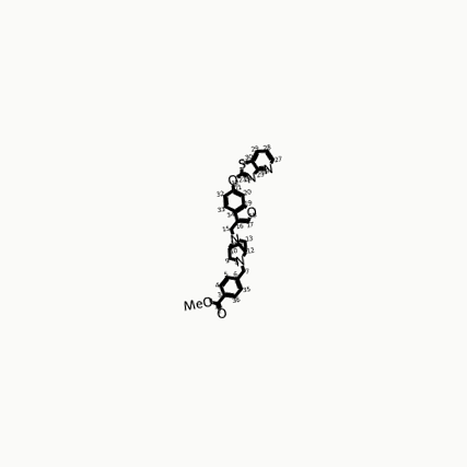 COC(=O)c1ccc(CN2CC3CC2CN3Cc2coc3cc(Oc4nc5ncccc5s4)ccc23)cc1